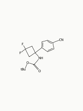 CC(C)(C)OC(=O)NC1(c2ccc(C#N)cc2)CC(F)(F)C1